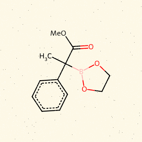 COC(=O)C(C)(B1OCCO1)c1ccccc1